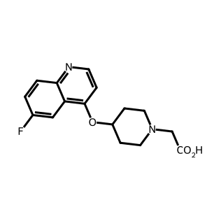 O=C(O)CN1CCC(Oc2ccnc3ccc(F)cc23)CC1